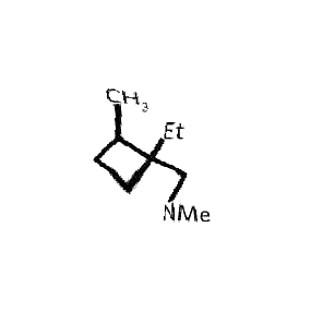 CCC1(CNC)CCC1C